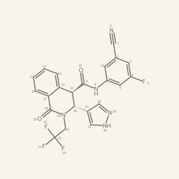 N#Cc1cc(F)cc(NC(=O)[C@@H]2c3ccccc3C(=O)N(CC(F)(F)F)[C@H]2c2cn[nH]c2)c1